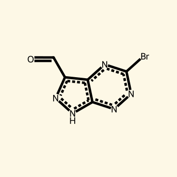 O=Cc1n[nH]c2nnc(Br)nc12